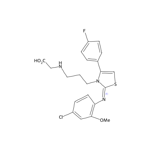 COc1cc(Cl)ccc1/N=c1/scc(-c2ccc(F)cc2)n1CCCNCC(=O)O